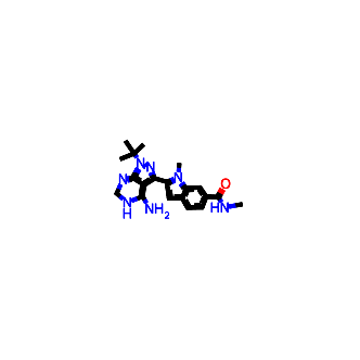 CNC(=O)c1ccc2cc(-c3nn(C(C)(C)C)c4c3=C(N)NCN=4)n(C)c2c1